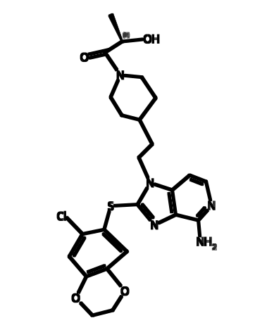 C[C@@H](O)C(=O)N1CCC(CCn2c(Sc3cc4c(cc3Cl)OCCO4)nc3c(N)nccc32)CC1